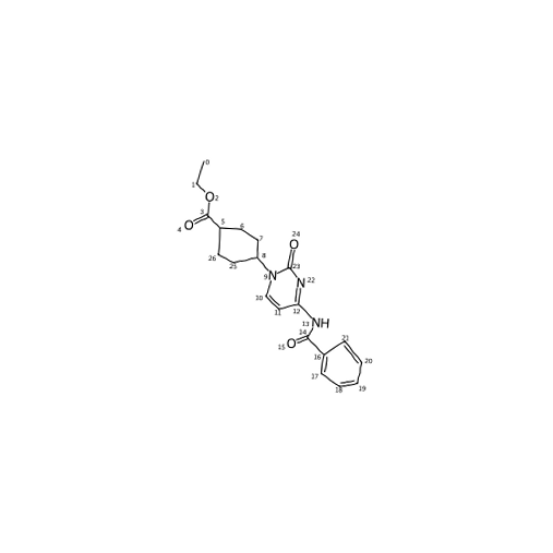 CCOC(=O)C1CCC(n2ccc(NC(=O)c3ccccc3)nc2=O)CC1